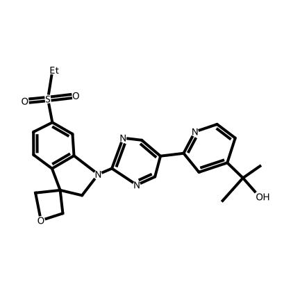 CCS(=O)(=O)c1ccc2c(c1)N(c1ncc(-c3cc(C(C)(C)O)ccn3)cn1)CC21COC1